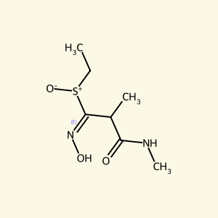 CC[S+]([O-])/C(=N/O)C(C)C(=O)NC